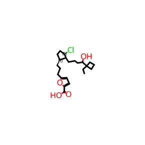 CCC1(C(O)CCCC2[C@@H](CCCc3ccc(C(=O)O)o3)CC[C@H]2Cl)CCC1